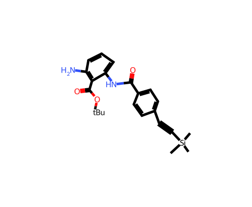 CC(C)(C)OC(=O)c1c(N)cccc1NC(=O)c1ccc(C#C[Si](C)(C)C)cc1